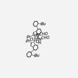 CCC(C)c1ccccc1-c1cccc2c1C=C(C(C)C)[CH]2[Zr]([Cl])([Cl])([B](NC=O)NC=O)[CH]1C(C(C)C)=Cc2c(-c3ccccc3C(C)CC)cccc21